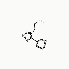 CCCn1[c]nnc1-c1cccnc1